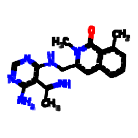 CC(=N)c1c(N)ncnc1NCc1cc2cccc(C)c2c(=O)n1C